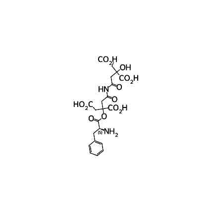 N[C@@H](Cc1ccccc1)C(=O)OC(CC(=O)O)(CC(=O)NC(=O)CC(O)(CC(=O)O)C(=O)O)C(=O)O